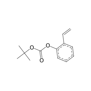 C=Cc1ccccc1OC(=O)OC(C)(C)C